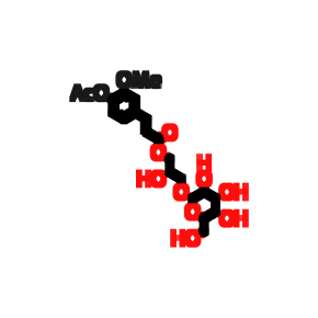 COc1cc(/C=C/C(=O)OC[C@@H](O)CO[C@@H]2OC(CO)[C@@H](O)[C@@H](O)C2O)ccc1OC(C)=O